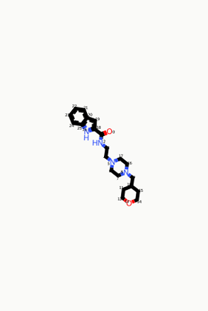 O=C(NCCN1CCN(CC2CCOCC2)CC1)c1cc2ccccc2[nH]1